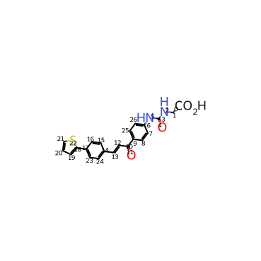 O=C(O)CNC(=O)Nc1ccc(C(=O)C=Cc2ccc(-c3cccs3)cc2)cc1